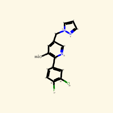 COc1cc(Cn2cccn2)cnc1-c1ccc(F)c(Cl)c1